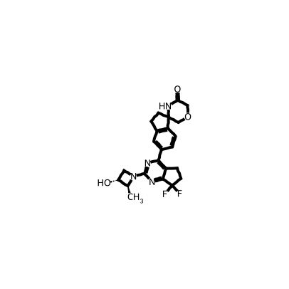 C[C@H]1[C@H](O)CN1c1nc(-c2ccc3c(c2)CCC32COCC(=O)N2)c2c(n1)C(F)(F)CC2